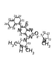 CC1CN(c2nc(OC[C@@H]3CCCN3C)nc3c(F)c(-c4cccc5ccccc45)ncc23)CC(C)N1